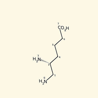 NC[C@H](N)CCCC(=O)O